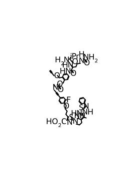 C#CCOCc1cc(NC(=O)C(CCCNC(N)=O)NC(=O)C(N)C(C)C)ccc1COC(=O)N(C)CC#Cc1ccc(OCCCc2sc(N3CCC/C(=C(\C)C(=N)Nc4nc5ccccc5s4)C3=N)nc2C(=O)O)c(F)c1